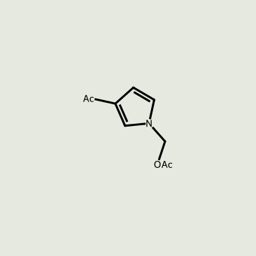 CC(=O)OCn1ccc(C(C)=O)c1